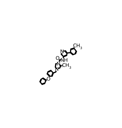 Cc1cccc(-c2cncc(NC(=O)N3CCN(Cc4cccc(Oc5ccccc5)c4)C[C@@H]3C)c2)c1